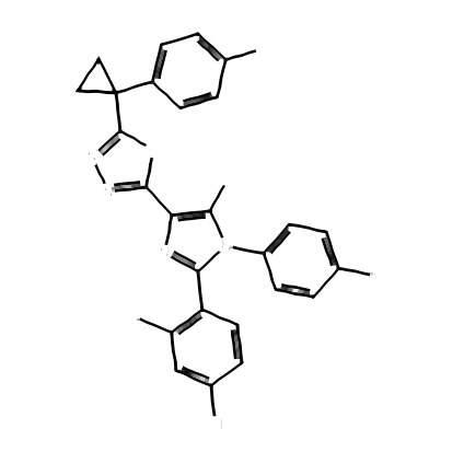 CCc1c(-c2nnc(C3(c4ccc(C)cc4)CC3)o2)nc(-c2ccc(Cl)cc2Cl)n1-c1ccc(Br)cc1